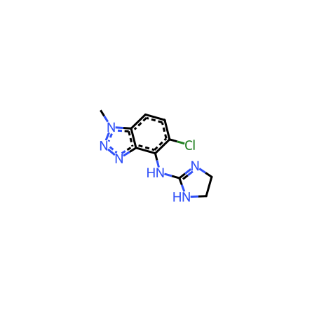 Cn1nnc2c(NC3=NCCN3)c(Cl)ccc21